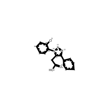 O=C(O)Cc1c(-c2ccccc2)nnn1-c1ccccc1Cl